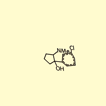 CNC1CCCC1(O)c1cccc(Cl)c1